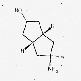 C[C@@]1(N)C[C@H]2C[C@@H](O)C[C@H]2C1